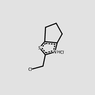 Cl.ClCc1nc2c(s1)CCC2